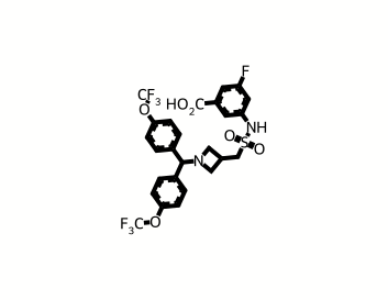 O=C(O)c1cc(F)cc(NS(=O)(=O)CC2CN(C(c3ccc(OC(F)(F)F)cc3)c3ccc(OC(F)(F)F)cc3)C2)c1